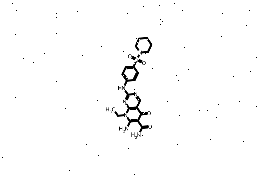 CCn1c(N)c(C(N)=O)c(=O)c2cnc(Nc3ccc(S(=O)(=O)N4CCCCC4)cc3)nc21